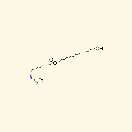 CC/C=C\C/C=C\C/C=C\CCCCCCCC(=O)OCCCCCCCCCCCCCCCCCO